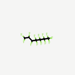 FC(F)C(F)C(F)C(F)(F)C(F)(F)C(F)(F)C(F)(F)F